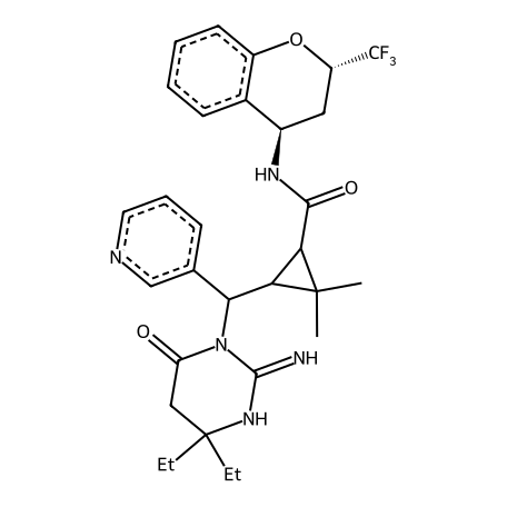 CCC1(CC)CC(=O)N(C(c2cccnc2)C2C(C(=O)N[C@@H]3C[C@@H](C(F)(F)F)Oc4ccccc43)C2(C)C)C(=N)N1